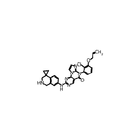 C=CCOc1cccc(-n2c(=O)c3cnc(Nc4ccc5c(c4)CNCC54CC4)nc3n3ccnc23)c1Cl